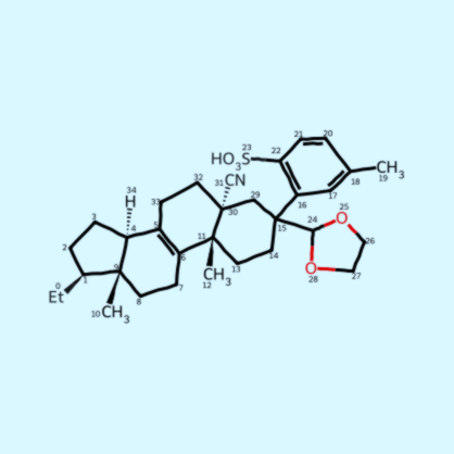 CC[C@H]1CC[C@H]2C3=C(CC[C@]12C)[C@@]1(C)CCC(c2cc(C)ccc2S(=O)(=O)O)(C2OCCO2)C[C@]1(C#N)CC3